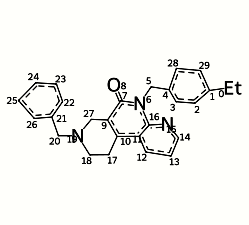 CCc1ccc(Cn2c(=O)c3c(c4cccnc42)CCN(Cc2ccccc2)C3)cc1